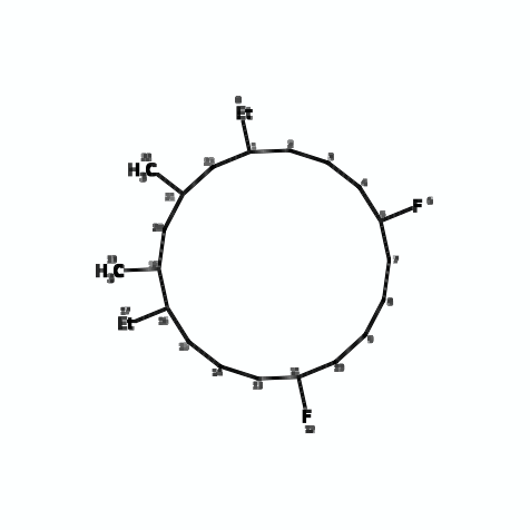 CCC1CCCC(F)CCCCC(F)CCCC(CC)C(C)CC(C)C1